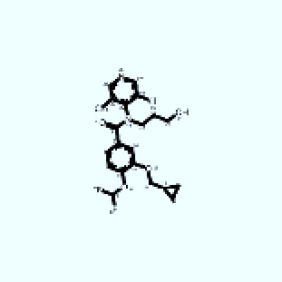 O=C(c1ccc(OC(F)F)c(OCC2CC2)c1)N(CCCO)c1c(Cl)cncc1Cl